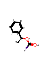 C[C@H](OC(=O)I)c1ccccc1